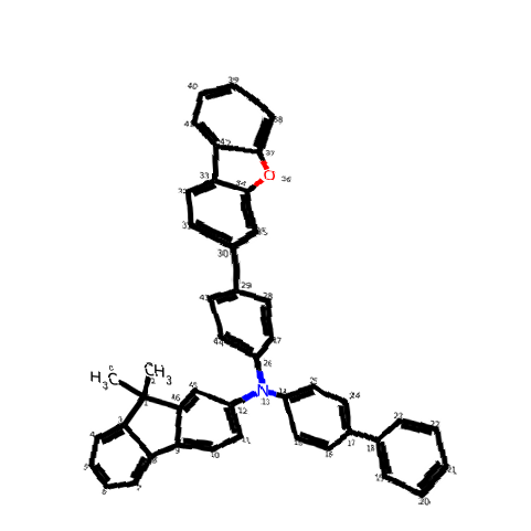 CC1(C)c2ccccc2-c2ccc(N(c3ccc(-c4ccccc4)cc3)c3ccc(-c4ccc5c(c4)oc4ccccc45)cc3)cc21